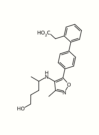 Cc1noc(-c2ccc(-c3ccccc3CC(=O)O)cc2)c1NC(C)CCCO